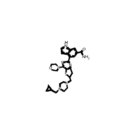 NC(=O)c1cc(-c2nc3c(c(N4CCOCC4)n2)SC(CN2CCN(CC4CC4)CC2)C3)c2cc[nH]c2c1